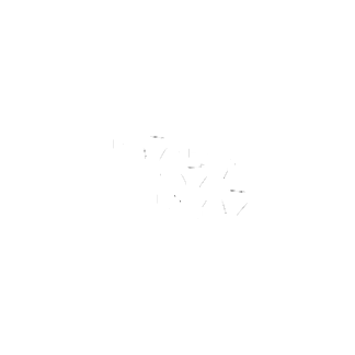 Cc1ccc(C)c(Oc2cc(O)c3c(c2N)C(=O)c2ccccc2C3=O)c1